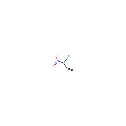 C=CC(Br)[N+](=O)[O-]